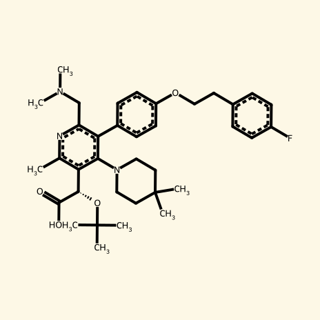 Cc1nc(CN(C)C)c(-c2ccc(OCCc3ccc(F)cc3)cc2)c(N2CCC(C)(C)CC2)c1[C@H](OC(C)(C)C)C(=O)O